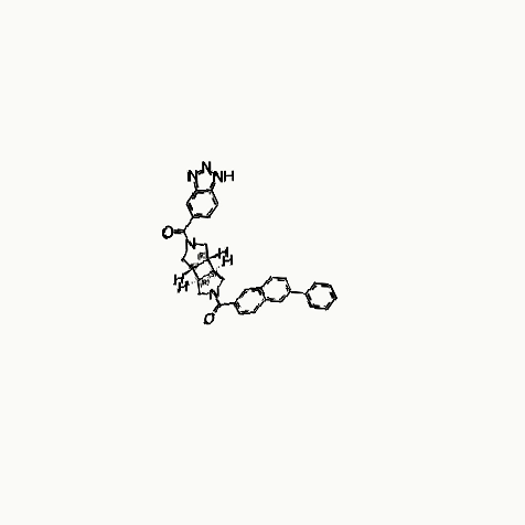 O=C(c1ccc2cc(-c3ccccc3)ccc2c1)N1C[C@@H]2[C@H](C1)[C@H]1CN(C(=O)c3ccc4[nH]nnc4c3)C[C@@H]21